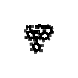 CCCCC/C=C\c1ccc(P(c2ccccc2)c2ccccc2)c(O)c1.I